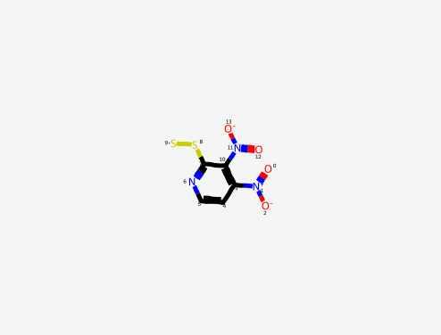 O=[N+]([O-])c1ccnc(S[S])c1[N+](=O)[O-]